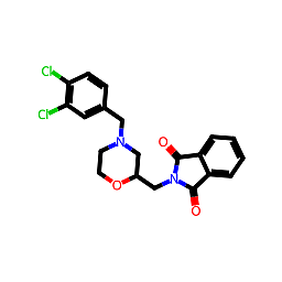 O=C1c2ccccc2C(=O)N1CC1CN(Cc2ccc(Cl)c(Cl)c2)CCO1